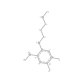 COCCCOc1cc(C)c(C)cc1OC